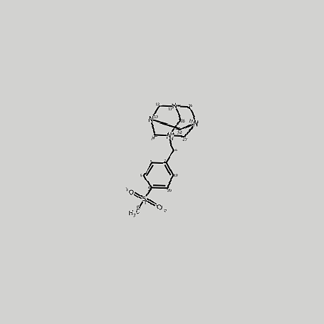 CS(=O)(=O)c1ccc(C[N+]23CN4CN(CN(C4)C2)C3)cc1